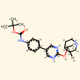 CC(C)(C)OC(=O)Nc1ccc(-c2cnc(O[C@H]3CN4CCC3CC4)nc2)cc1